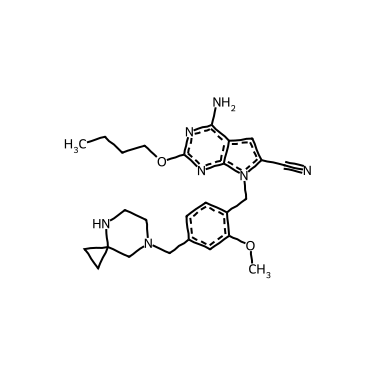 CCCCOc1nc(N)c2cc(C#N)n(Cc3ccc(CN4CCNC5(CC5)C4)cc3OC)c2n1